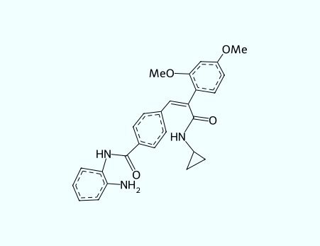 COc1ccc(C(=Cc2ccc(C(=O)Nc3ccccc3N)cc2)C(=O)NC2CC2)c(OC)c1